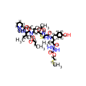 CCCC(=O)OCN(C(=O)[C@@H](NC(=O)[C@H]1CCCCN1C)C(C)CC)[C@H](C[C@@H](OC(C)=O)c1nc(C(=O)N[C@@H](Cc2ccc(O)cc2)C[C@H](C)C(=O)NNC(=O)OCCSC)cs1)C(C)C